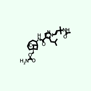 CC(=O)NC(C)(C)/C=C/n1ncc(C(=O)N[C@@H]2CCC3CC4C2C[C@]4(COC(N)=O)C3)c1CC(C)C